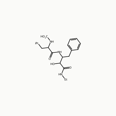 CCNC(=O)C(O)C(Cc1ccccc1)NC(=O)C(CC(C)C)NC(=O)O